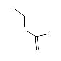 CC(C)CSC(=O)Cl